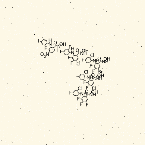 O=C(NO)c1cc(Br)c(F)c(F)c1Nc1ccc(I)cc1Cl.O=C(NO)c1cc(Cl)c(F)c(F)c1Nc1ccc(I)cc1Cl.O=C(NO)c1cc(Cl)c(F)c(F)c1Nc1ccc(I)cc1F.O=C(NO)c1cc(F)c(F)c(F)c1Nc1ccc(I)cc1Cl.O=C(NO)c1ccc([N+](=O)[O-])cc1Nc1ccc(I)cc1F